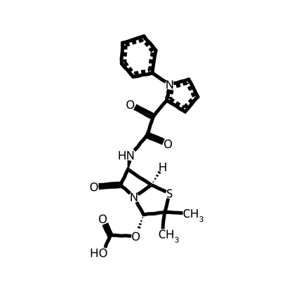 CC1(C)S[C@@H]2[C@H](NC(=O)C(=O)c3cccn3-c3ccccc3)C(=O)N2[C@H]1OC(=O)O